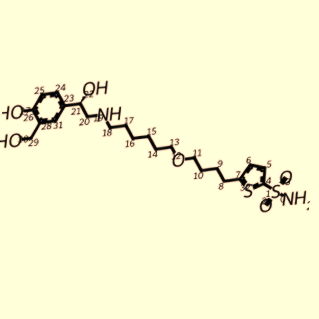 NS(=O)(=O)c1ccc(CCCCOCCCCCCNC[C@H](O)c2ccc(O)c(CO)c2)s1